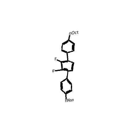 CCCCCCCCCc1ccc(-c2ccc(-c3ccc(CCCCCCCC)cc3)c(F)c2F)cc1